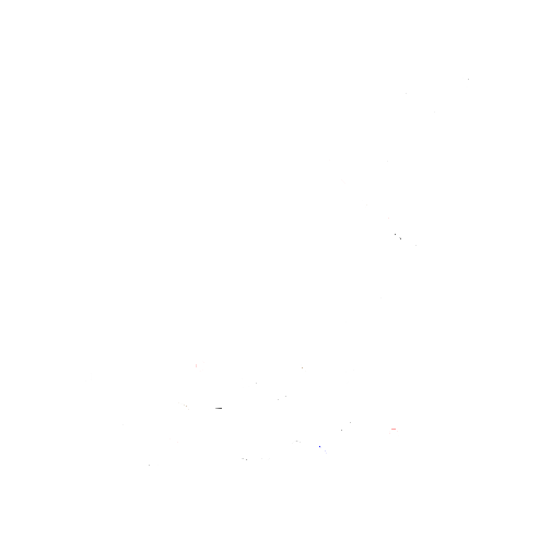 Cc1ccc(S(=O)(=O)Oc2ccc(/C=C3\Sc4cc(S(=O)(=O)Cc5c(C)cccc5C)ccc4NC3=O)cc2[N+](=O)[O-])cc1